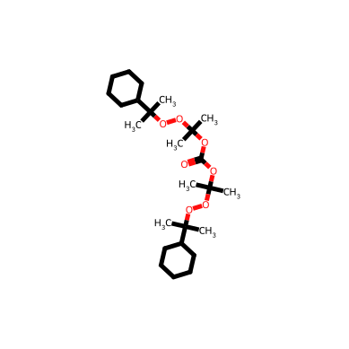 CC(C)(OOC(C)(C)C1CCCCC1)OC(=O)OC(C)(C)OOC(C)(C)C1CCCCC1